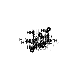 CC[C@H](C)[C@H](NC(=O)[C@H](Cc1c[nH]c2ccccc12)NC(=O)[C@@H](NC(=O)[C@H](CC(C)C)NC(=O)[C@@H](N)Cc1c[nH]c2ccccc12)C(C)C)C(=O)N[C@@H](Cc1c[nH]c2ccccc12)C(=O)N[C@@H](CCCNC(=N)N)C(=O)N[C@@H](CCCNC(=N)N)C(=O)O